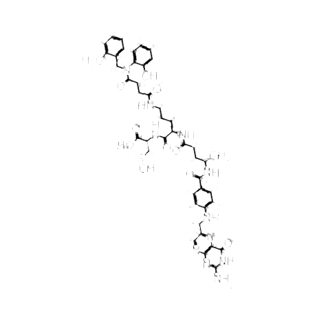 CSC[C@H](NC(=O)C(CCCNC(=O)CCC(=O)N(Cc1ccccc1C)c1ccccc1C)NC(=O)CC[C@@H](C)NC(=O)c1ccc(NCc2cnc3nc(N)[nH]c(=O)c3n2)cc1)C(=O)O